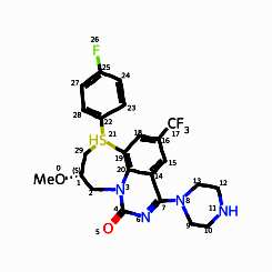 CO[C@H]1Cn2c(=O)nc(N3CCNCC3)c3cc(C(F)(F)F)cc(c32)[SH](c2ccc(F)cc2)C1